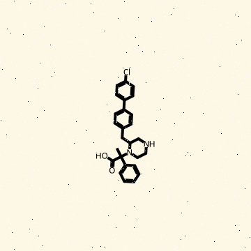 CC(C(=O)O)(c1ccccc1)N1CCNCC1Cc1ccc(-c2ccc(Cl)cc2)cc1